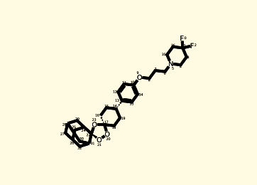 FC1(F)CCN(CCCOc2ccc([C@H]3CC[C@]4(CC3)OO[C@]3(O4)C4CC5CC(C4)CC3C5)cc2)CC1